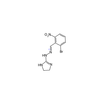 O=[N+]([O-])c1cccc(Br)c1/C=N/NC1=NCCN1